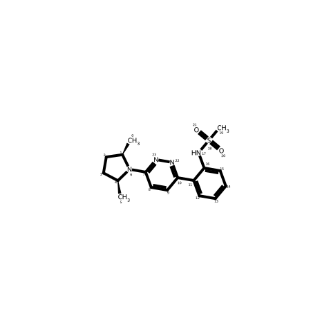 C[C@@H]1CC[C@H](C)N1c1ccc(-c2ccccc2NS(C)(=O)=O)nn1